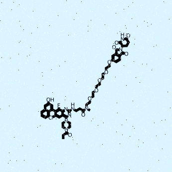 CCC(=O)N1CCN(c2nc(NCCC(=O)N(C)CCOCCOCCOCCOCCOc3ccc4c(c3)C(=O)N(C3CCC(=O)NC3=O)C4=O)nc3c(F)c(-c4cc(O)cc5ccccc45)c(Cl)cc23)CC1